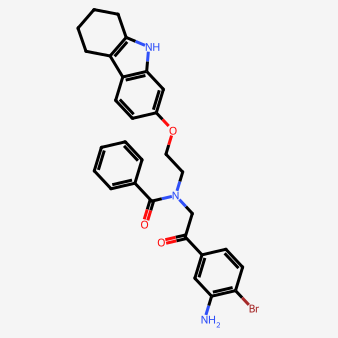 Nc1cc(C(=O)CN(CCOc2ccc3c4c([nH]c3c2)CCCC4)C(=O)c2ccccc2)ccc1Br